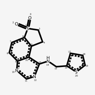 O=S1(=O)CCc2c1ccc1ncnc(NCc3cccs3)c21